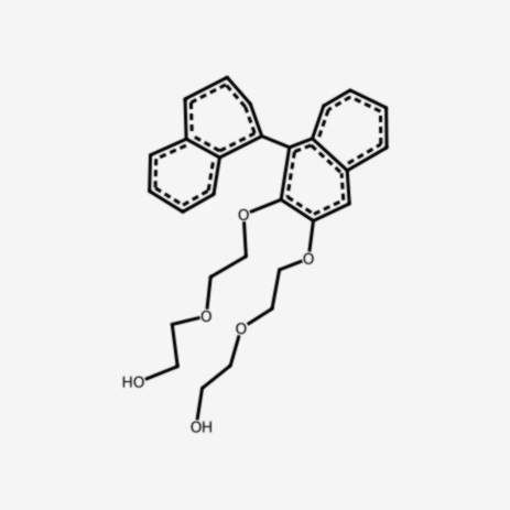 OCCOCCOc1cc2ccccc2c(-c2cccc3ccccc23)c1OCCOCCO